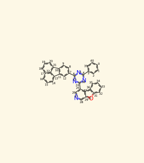 c1ccc(-c2nc(-c3ccc4c(c3)-c3cccc5cccc-4c35)nc(-c3cncc4oc5ccccc5c34)n2)cc1